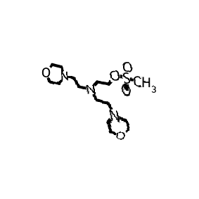 CS(=O)(=O)OCCN(CCN1CCOCC1)CCN1CCOCC1